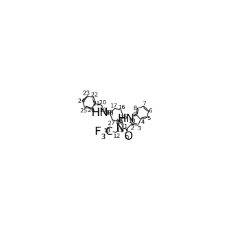 O=C(c1cc2ccccc2[nH]1)N(CC(F)(F)F)[C@H]1CCC[C@@H](NCc2ccccc2)C1